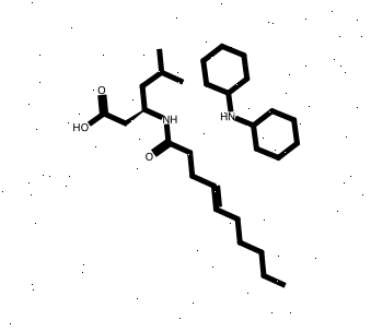 C1CCC(NC2CCCCC2)CC1.CCCCCC=CCCC(=O)N[C@@H](CC(=O)O)CC(C)C